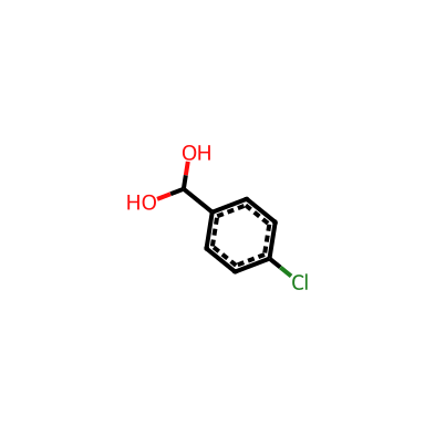 OC(O)c1ccc(Cl)cc1